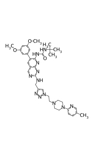 COc1cc(OC)cc(-c2cc3cnc(NCc4cn(CCN5CCN(c6ccc(C)cn6)CC5)nn4)nc3nc2NC(=O)NC(C)(C)C)c1